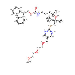 CCCOCCOCCOCc1cnc(SC[Si](C)(C)O[Si](C)(C)CCCNC(=O)OCC2c3ccccc3-c3ccccc32)nc1